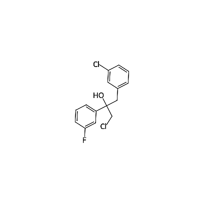 OC(CCl)(Cc1cccc(Cl)c1)c1cccc(F)c1